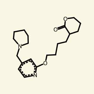 O=C1OCCCC1CCCCOc1cc(CN2CCCCC2)ccn1